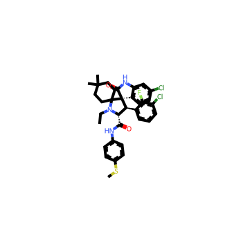 CCN1[C@@H](C(=O)Nc2ccc(SC)cc2)[C@H](c2cccc(Cl)c2F)[C@]2(C(=O)Nc3cc(Cl)ccc32)C12CCC(C)(C)CC2